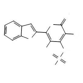 Cc1c(-c2cc3ccccc3o2)oc(=O)c(C)c1OS(C)(=O)=O